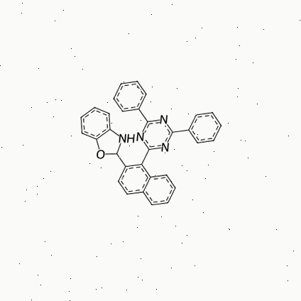 c1ccc(-c2nc(-c3ccccc3)nc(-c3c(C4Nc5ccccc5O4)ccc4ccccc34)n2)cc1